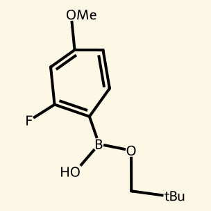 COc1ccc(B(O)OCC(C)(C)C)c(F)c1